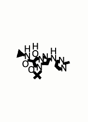 Cc1nccc(Nc2cc3n(CC(C)(C)C)c(=O)c(C(=O)NC4CC4)c(O)n3n2)n1